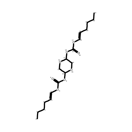 CCCCC=COC(=O)OC1COC(OC(=O)OC=CCCCC)CO1